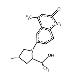 C[C@H]1CC([C@@H](O)C(F)(F)F)N(c2ccc3[nH]c(=O)cc(C(F)(F)F)c3c2)C1